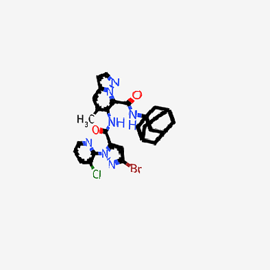 Cc1cc2ccnn2c(C(=O)NC23CC4CC(CC(C4)C2)C3)c1NC(=O)c1cc(Br)nn1-c1ncccc1Cl